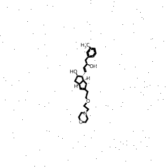 Cc1cccc(C[C@@H](O)/C=C/[C@@H]2[C@H]3CC(CCOCCN4CCOCC4)=C[C@H]3C[C@H]2O)c1